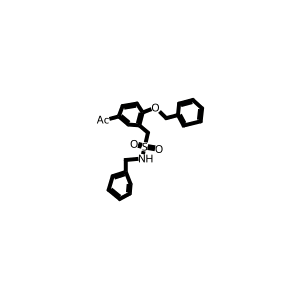 CC(=O)c1ccc(OCc2ccccc2)c(CS(=O)(=O)NCc2ccccc2)c1